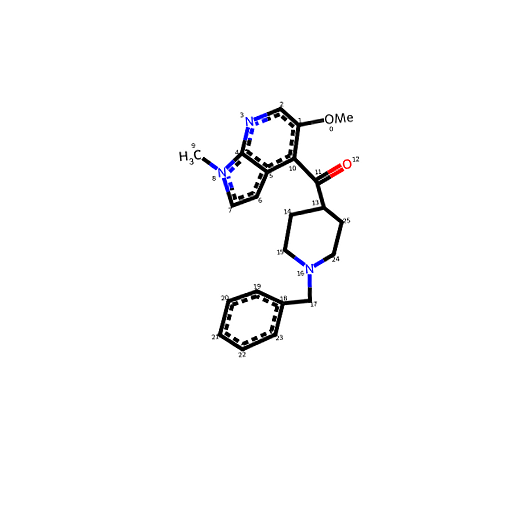 COc1cnc2c(ccn2C)c1C(=O)C1CCN(Cc2ccccc2)CC1